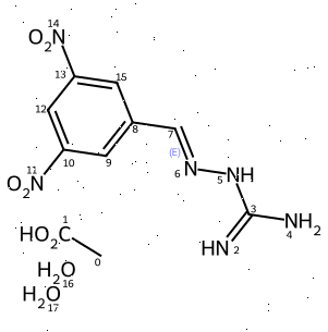 CC(=O)O.N=C(N)N/N=C/c1cc([N+](=O)[O-])cc([N+](=O)[O-])c1.O.O